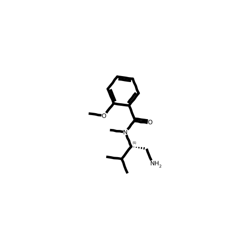 COc1ccccc1C(=O)N(C)[C@H](CN)C(C)C